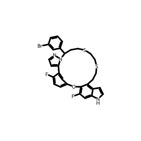 Fc1ccc2cc1-c1ccnn1C(c1cccc(Br)c1)CCSCCSCCc1c(c(F)cc3[nH]ccc13)O2